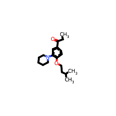 CCC(=O)c1ccc(OCCC(C)C)c(N2CCCCC2)c1